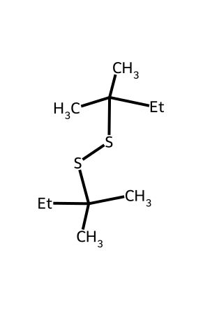 CCC(C)(C)SSC(C)(C)CC